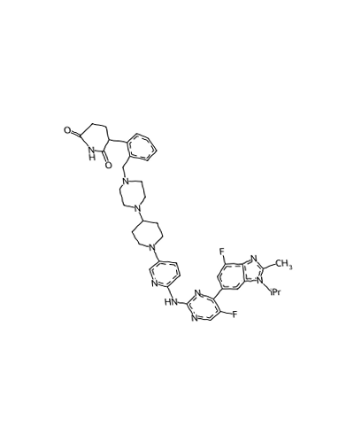 Cc1nc2c(F)cc(-c3nc(Nc4ccc(N5CCC(N6CCN(Cc7ccccc7C7CCC(=O)NC7=O)CC6)CC5)cn4)ncc3F)cc2n1C(C)C